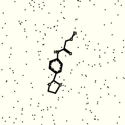 CCOCC(=O)Nc1ccc(C2OCCO2)cc1